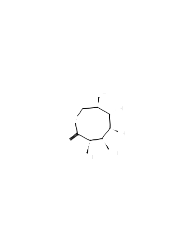 O=C1OC[C@@H](O)[C@H](O)[C@@H](O)[C@@H](O)[C@H]1O